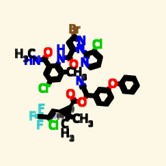 CC1(C)[C@H](C(=O)OC(C#N)c2cccc(Oc3ccccc3)c2)[C@@H]1/C=C(\Cl)C(F)(F)F.CNC(=O)c1cc(Cl)cc(C)c1NC(=O)c1cc(Br)nn1-c1ncccc1Cl